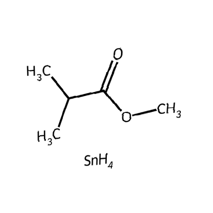 COC(=O)C(C)C.[SnH4]